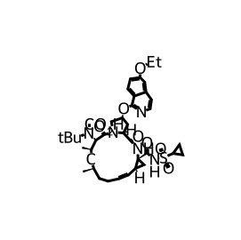 CCOc1ccc2c(O[C@@H]3C[C@H]4C(=O)N[C@]5(C(=O)NS(=O)(=O)C6CC6)C[C@H]5/C=C\CC[C@@H](C)C[C@@H](C)[C@H](N(C(=O)O)C(C)(C)C)C(=O)N4C3)nccc2c1